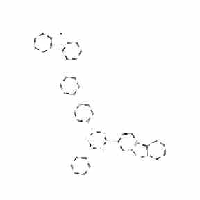 CC1(C)c2ccccc2-c2c1ccc1c2Oc2ccc(-c3ccc(-c4nc(-c5ccccc5)nc(-c5ccc6c(c5)sc5ccccc56)n4)cc3)cc2O1